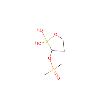 CP(C)(=O)OC1CCOS1(O)O